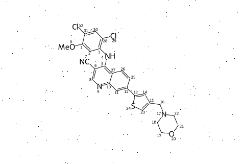 COc1cc(Nc2c(C#N)cnc3cc(-c4cc(CN5CCOCC5)cs4)ccc23)c(Cl)cc1Cl